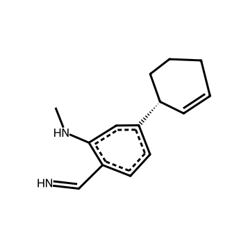 CNc1cc([C@H]2C=CCCC2)ccc1C=N